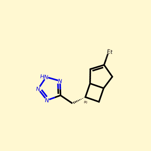 CCC1=CC2C(C1)C[C@@H]2Cc1nn[nH]n1